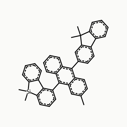 Cc1ccc2c(-c3ccc4c(c3)C(C)(C)c3ccccc3-4)c3ccccc3c(-c3cccc4c3-c3ccccc3[Si]4(C)C)c2c1